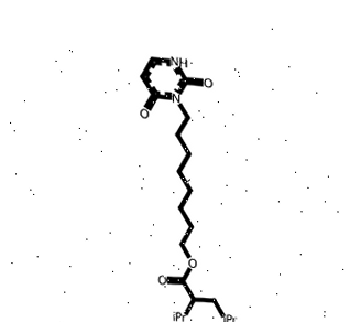 CC(C)CC(C(=O)OCCCCCCCCn1c(=O)cc[nH]c1=O)C(C)C